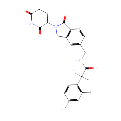 Bc1cc(Cl)ccc1C(F)(F)C(=O)NCc1ccc2c(c1)CN(C1CCC(=O)NC1=O)C2=O